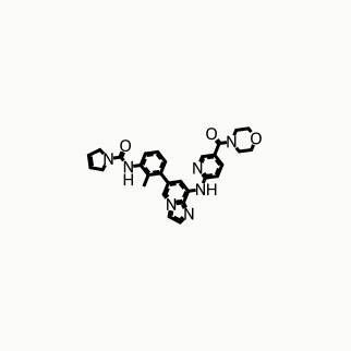 Cc1c(NC(=O)N2CC=CC2)cccc1-c1cc(Nc2ccc(C(=O)N3CCOCC3)cn2)c2nccn2c1